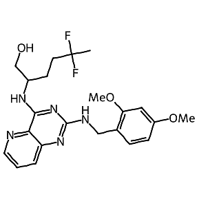 COc1ccc(CNc2nc(NC(CO)CCC(C)(F)F)c3ncccc3n2)c(OC)c1